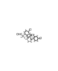 CC(C)(C=O)c1ccc(Cl)c2nc3n(c12)CCCN3c1ccc(Cl)cc1Cl